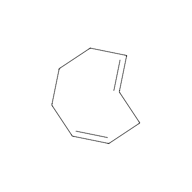 C1=C\CCC/C=C/C/1